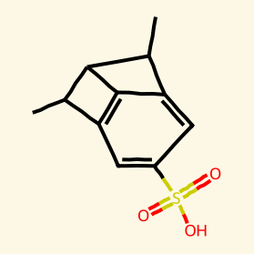 CC1c2cc(S(=O)(=O)O)cc3c2C1C3C